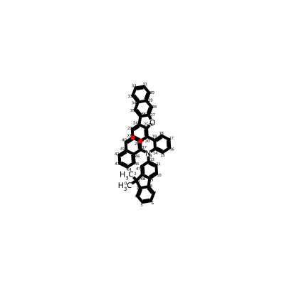 CC1(C)c2ccccc2-c2ccc(N(c3ccccc3-c3cccc4c3oc3cc5ccccc5cc34)c3cccc4ccccc34)cc21